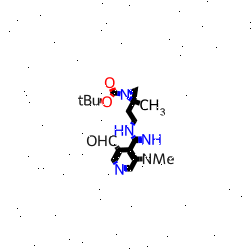 CNc1cncc(C=O)c1C(=N)NCCC1(C)CN1C(=O)OC(C)(C)C